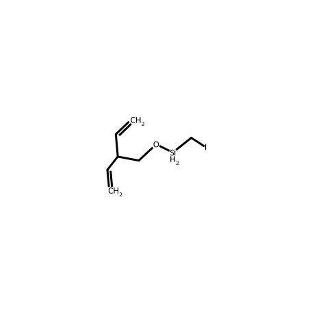 C=CC(C=C)CO[SiH2]CI